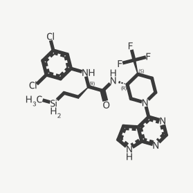 C[SiH2]CC[C@@H](Nc1cc(Cl)cc(Cl)c1)C(=O)N[C@H]1CN(c2ncnc3[nH]ccc23)CC[C@@H]1C(F)(F)F